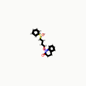 O=C1CCc2ccccc2N1OCCCC[S+]([O-])c1ccccc1